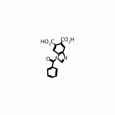 O=C(O)c1cc2ncn(C(=O)c3ccccc3)c2cc1C(=O)O